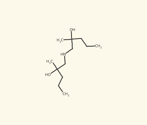 CCCC(C)(O)CNCC(C)(O)CCC